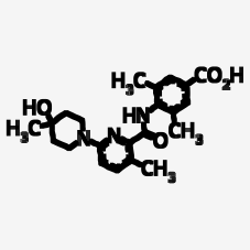 Cc1ccc(N2CCC(C)(O)CC2)nc1C(=O)Nc1c(C)cc(C(=O)O)cc1C